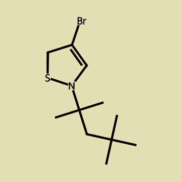 CC(C)(C)CC(C)(C)N1C=C(Br)CS1